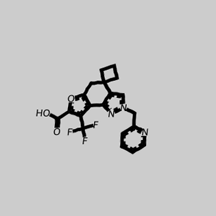 O=C(O)c1oc2c(c1C(F)(F)F)-c1nn(Cc3ccccn3)cc1C1(CCC1)C2